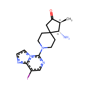 C[C@@H]1C(=O)CC2(CCN(c3ncc(I)c4nccn34)CC2)[C@H]1N